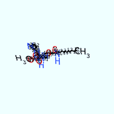 CCCCCCCCCCCCNC(=O)CCCOc1ccc(NC(NC(=O)CCc2cccnc2)C(=O)NCCOC)cc1